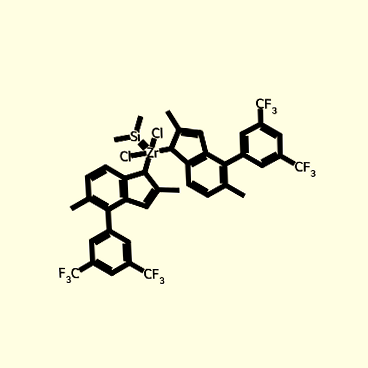 CC1=Cc2c(ccc(C)c2-c2cc(C(F)(F)F)cc(C(F)(F)F)c2)[CH]1[Zr]([Cl])([Cl])([CH]1C(C)=Cc2c1ccc(C)c2-c1cc(C(F)(F)F)cc(C(F)(F)F)c1)=[Si](C)C